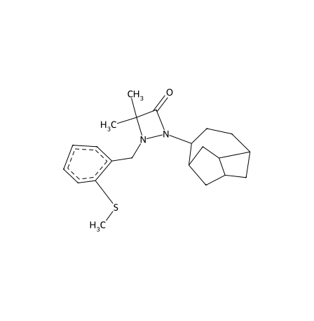 CSc1ccccc1CN1N(C2CCC3CC4CC2CC34)C(=O)C1(C)C